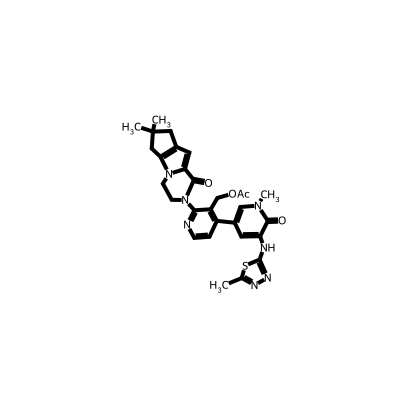 CC(=O)OCc1c(-c2cc(Nc3nnc(C)s3)c(=O)n(C)c2)ccnc1N1CCn2c(cc3c2CC(C)(C)C3)C1=O